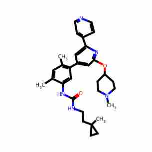 Cc1cc(C)c(-c2cc(OC3CCN(C)CC3)nc(-c3ccncc3)c2)cc1NC(=O)NCCC1(C)CC1